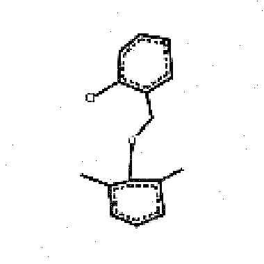 Cc1c[c]cc(C)c1OCc1ccccc1Cl